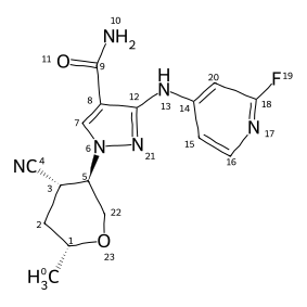 C[C@@H]1C[C@H](C#N)[C@@H](n2cc(C(N)=O)c(Nc3ccnc(F)c3)n2)CO1